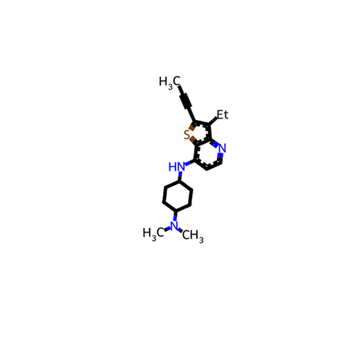 CC#Cc1sc2c(NC3CCC(N(C)C)CC3)ccnc2c1CC